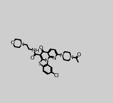 CC(=O)N1CCN(c2ccc3c(=O)c(C(=O)NCCN4CCOCC4)c4sc5ccc(Cl)cc5n4c3n2)CC1